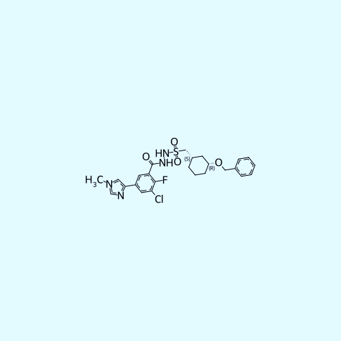 Cn1cnc(-c2cc(Cl)c(F)c(C(=O)NNS(=O)(=O)C[C@H]3CCC[C@@H](OCc4ccccc4)C3)c2)c1